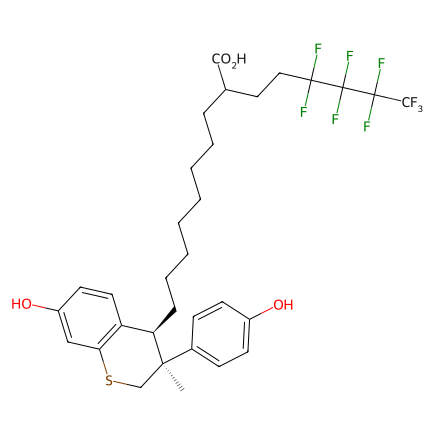 C[C@]1(c2ccc(O)cc2)CSc2cc(O)ccc2[C@H]1CCCCCCCCC(CCC(F)(F)C(F)(F)C(F)(F)C(F)(F)F)C(=O)O